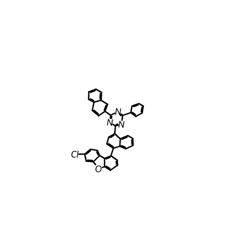 Clc1ccc2c(c1)oc1cccc(-c3ccc(-c4nc(-c5ccccc5)nc(-c5ccc6ccccc6c5)n4)c4ccccc34)c12